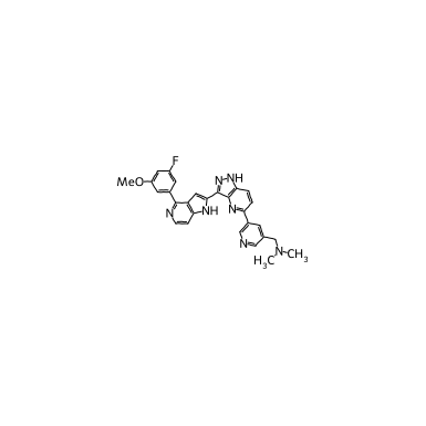 COc1cc(F)cc(-c2nccc3[nH]c(-c4n[nH]c5ccc(-c6cncc(CN(C)C)c6)nc45)cc23)c1